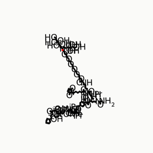 CC[C@H](C)[C@@H]([C@@H](CC(=O)N1CCC[C@H]1[C@H](OC)[C@@H](C)C(=O)N[C@H](C)[C@@H](O)c1ccccc1)OC)N(C)C(=O)[C@@H](NC(=O)[C@H](C(C)C)N(C)C(=O)OCc1ccc(NC(=O)[C@H](CCCNC(N)=O)NC(=O)[C@@H](NC(=O)[C@H](CCCCNC(=O)OCCOCCOCCOCCOCCOCCN(C[C@H](O)[C@@H](O)[C@H](O)[C@H](O)CO)C[C@H](O)[C@@H](O)[C@H](O)[C@H](O)CO)NC(=O)CCCCCN2C(=O)C=CC2=O)C(C)C)cc1)C(C)C